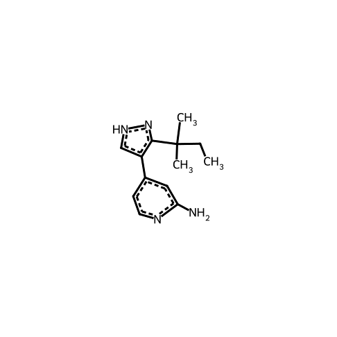 CCC(C)(C)c1n[nH]cc1-c1ccnc(N)c1